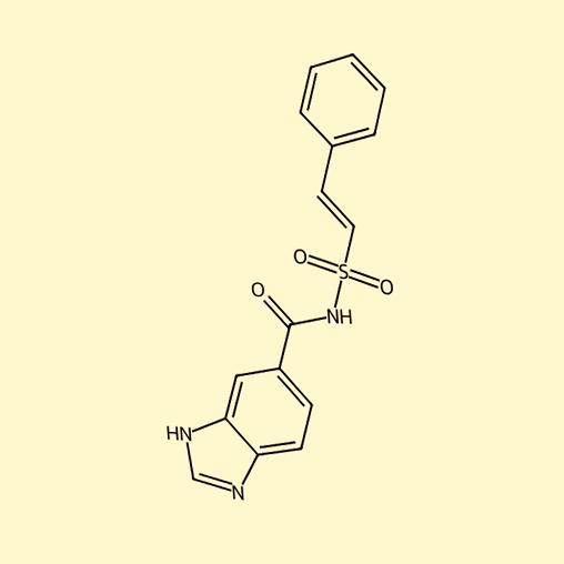 O=C(NS(=O)(=O)/C=C/c1ccccc1)c1ccc2nc[nH]c2c1